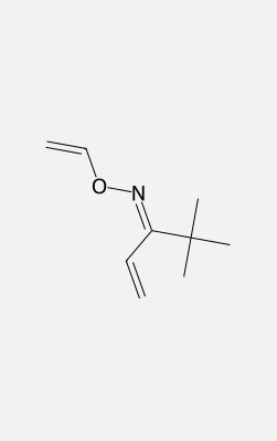 C=CO/N=C(\C=C)C(C)(C)C